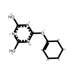 Oc1nc(O)nc(OC2=CCCCC2)n1